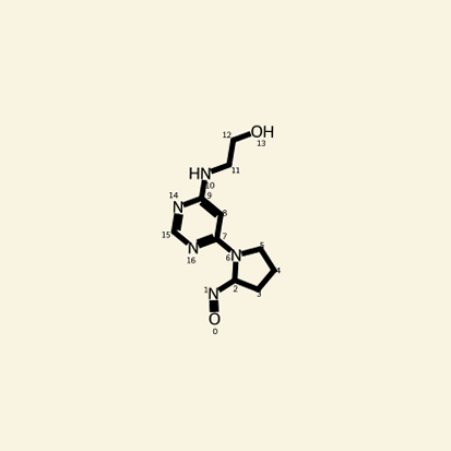 O=NC1CCCN1c1cc(NCCO)ncn1